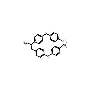 Cc1ccc(Oc2ccc(CC(C)c3ccc(Oc4ccc(C)cc4)cc3)cc2)cc1